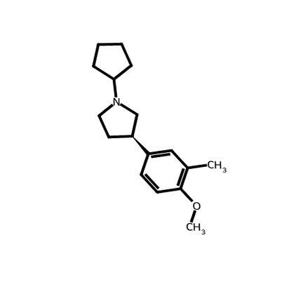 COc1ccc([C@H]2CCN(C3CCCC3)C2)cc1C